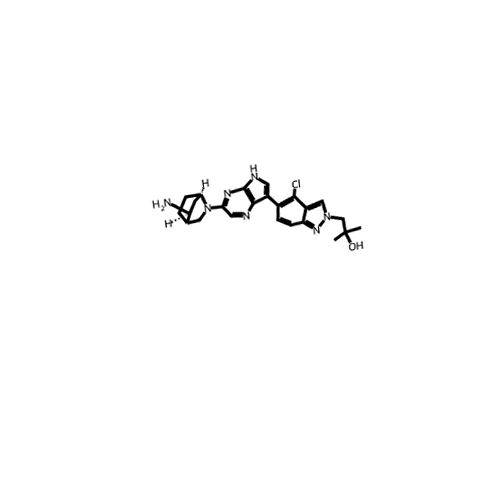 CC(C)(O)Cn1cc2c(Cl)c(-c3c[nH]c4nc(N5CC6CC[C@@H]5C[C@@H]6N)cnc34)ccc2n1